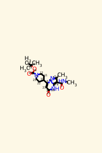 CNC(=O)c1c(C)nn2c(C3CCN(C(=O)OC(C)(C)C)CC3)cc(=O)[nH]c12